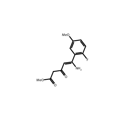 COC(=O)CC(=O)C=C(N)c1cc(OC)ccc1F